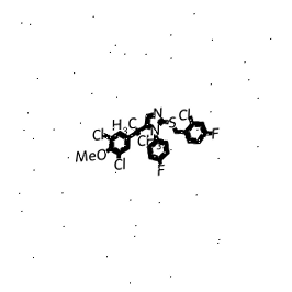 COc1c(Cl)cc(C(C)(C)c2cnc(SCc3ccc(F)cc3Cl)n2-c2ccc(F)cc2)cc1Cl